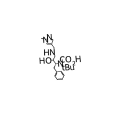 Cn1cc(CNC[C@H](O)[C@H](Cc2ccccc2)N(C(=O)O)C(C)(C)C)cn1